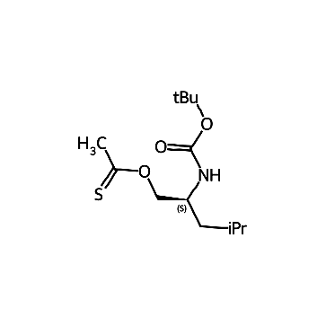 CC(=S)OC[C@H](CC(C)C)NC(=O)OC(C)(C)C